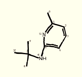 Cc1cccc(NC(C)(C)C)n1